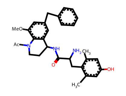 COc1cc(Cc2ccccc2)cc2c1N(C(C)=O)CCC2NC(=O)C(N)Cc1c(C)cc(O)cc1C